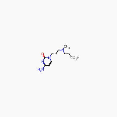 CN(CCCn1ccc(N)nc1=O)CCC(=O)O